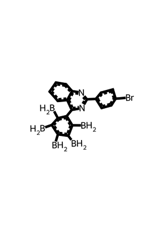 Bc1c(B)c(B)c(-c2nc(-c3ccc(Br)cc3)nc3ccccc23)c(B)c1B